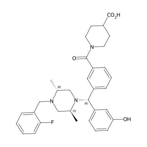 C[C@@H]1CN([C@@H](c2cccc(O)c2)c2cccc(C(=O)N3CCC(C(=O)O)CC3)c2)[C@@H](C)CN1Cc1ccccc1F